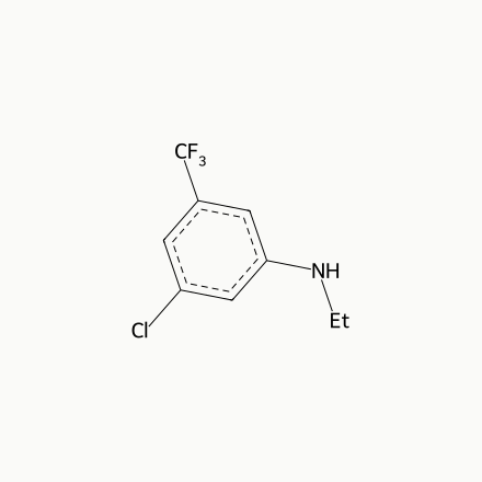 CCNc1cc(Cl)cc(C(F)(F)F)c1